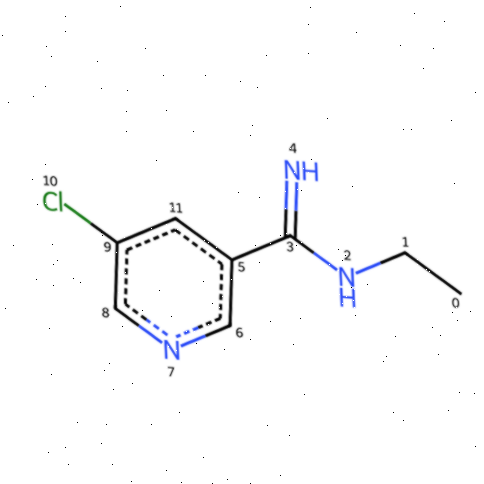 CCNC(=N)c1cncc(Cl)c1